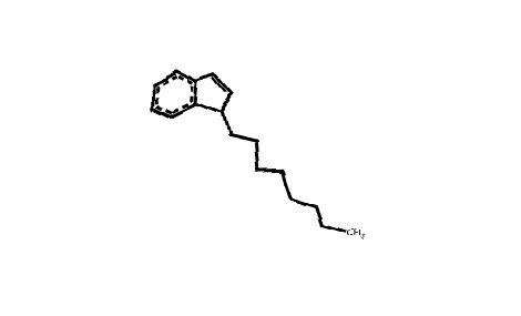 CCCCCCCC[C]1C=Cc2ccccc21